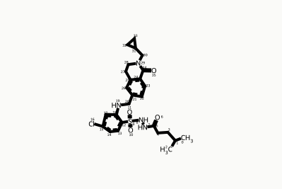 CC(C)CCC(=O)NNS(=O)(=O)c1ccc(Cl)cc1NCc1ccc2c(c1)CCN(CC1CC1)C2=O